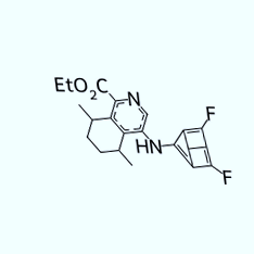 CCOC(=O)c1ncc(NC2=C3C(F)=C4C(F)=C2C43)c2c1C(C)CCC2C